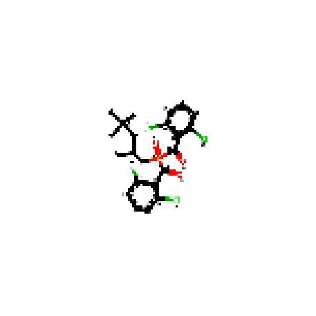 CC(CC(C)(C)C)CP(=O)(C(=O)c1c(Cl)cccc1Cl)C(=O)c1c(Cl)cccc1Cl